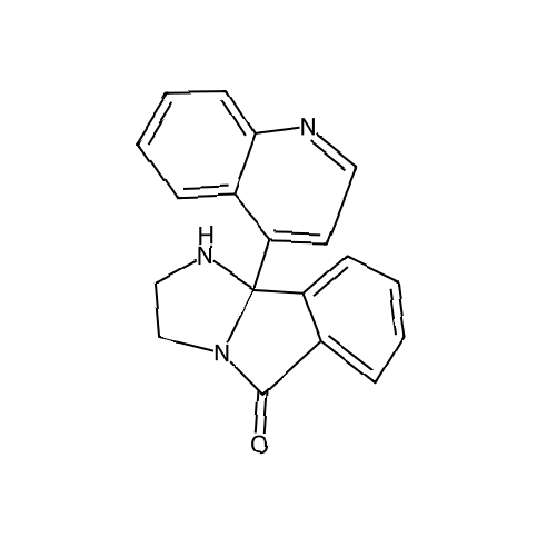 O=C1c2ccccc2C2(c3ccnc4ccccc34)NCCN12